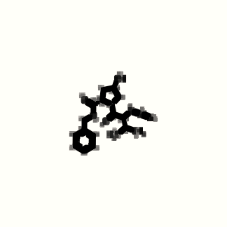 CC(C)[C@H](N=[N+]=[N-])C(=O)N1C[C@H](O)C[C@H]1C(=O)OCc1ccccc1